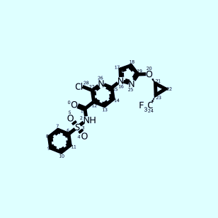 O=C(NS(=O)(=O)c1ccccc1)c1ccc(-n2ccc(O[C@@H]3C[C@@H]3C(F)(F)F)n2)nc1Cl